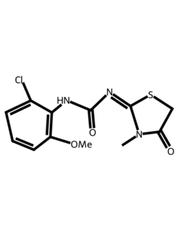 COc1cccc(Cl)c1NC(=O)N=C1SCC(=O)N1C